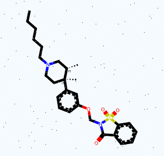 CCCCCCN1CC[C@](C)(c2cccc(OCN3C(=O)c4ccccc4S3(=O)=O)c2)[C@@H](C)C1